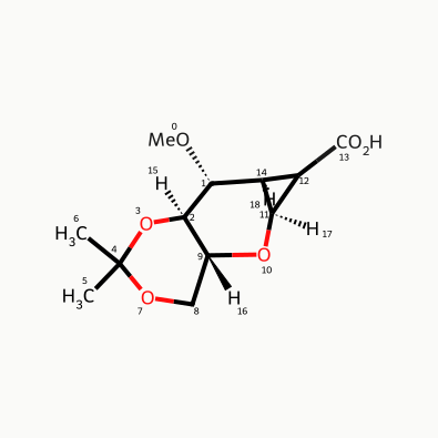 CO[C@H]1[C@@H]2OC(C)(C)OC[C@H]2O[C@@H]2C(C(=O)O)[C@H]12